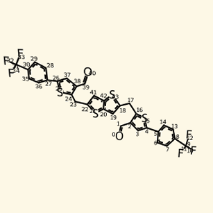 O=Cc1cc(-c2ccc(C(F)(F)F)cc2)sc1Cc1cc2sc(Cc3sc(-c4ccc(C(F)(F)F)cc4)cc3C=O)cc2s1